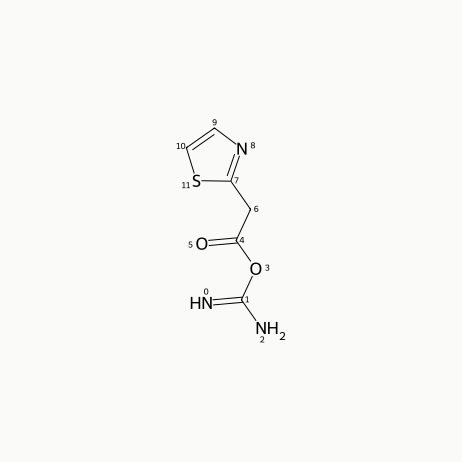 N=C(N)OC(=O)Cc1nccs1